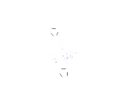 CC(C)(C)CC(C)(C)C(C)(OCCOc1ccccc1)[N+](C)(C)Cc1ccccc1.[Cl-]